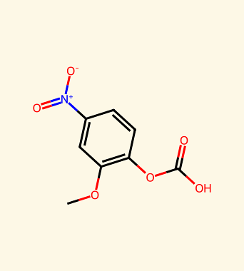 COc1cc([N+](=O)[O-])ccc1OC(=O)O